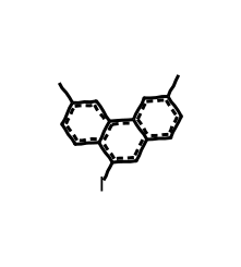 Cc1ccc2cc(I)c3ccc(C)cc3c2c1